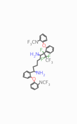 NC(CCCCC(N)C(F)(c1ccccc1Oc1ccccc1NC(F)(F)F)C(F)(F)C(F)(F)F)c1ccccc1Oc1ccccc1NC(F)(F)F